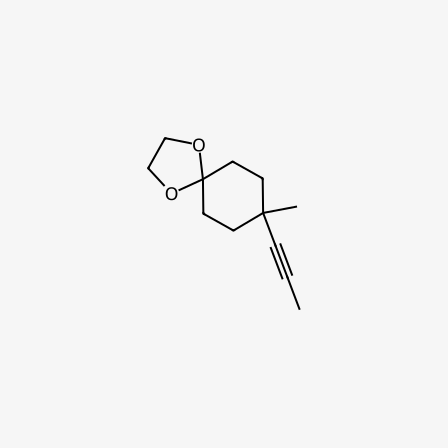 CC#CC1(C)CCC2(CC1)OCCO2